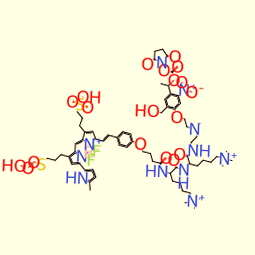 Cc1ccc(-c2cc(CCCSOOO)c3n2[B-](F)(F)[N+]2=C(/C=C/c4ccc(OCCCC(=O)NC(CCCC[N+](C)(C)C)C(=O)NC(CCCC[N+](C)(C)C)C(=O)NCCN(C)CCOc5cc([N+](=O)[O-])c(C(C)OC(=O)ON6C(=O)CCC6=O)cc5CO)cc4)C=C(CCCS(=O)(=O)O)C2=C3)[nH]1